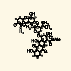 CC[C@@]1(O)CC(OC2CC(N(C)C)C(OC3CC(O)C(OC4CCC(=O)C(C)O4)C(C)O3)C(C)O2)c2c(cc3c(c2O)C(=O)c2c(O)cccc2C3=O)[C@H]1C(=O)OC